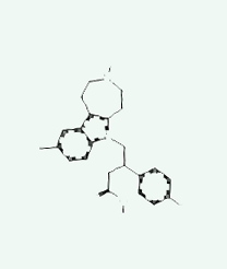 CC(C)OC(=O)CC(Cn1c2c(c3cc(Cl)ccc31)CCN(C)CC2)c1ccc(Cl)cc1